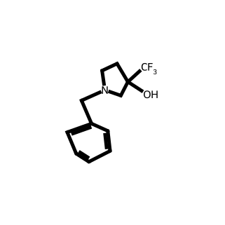 OC1(C(F)(F)F)CCN(Cc2ccccc2)C1